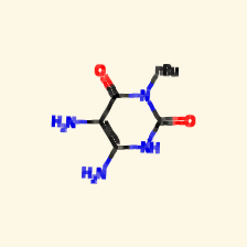 CCCCn1c(=O)[nH]c(N)c(N)c1=O